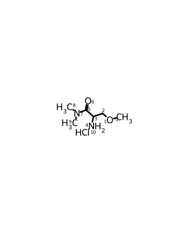 COCC(N)C(=O)N(C)C.Cl